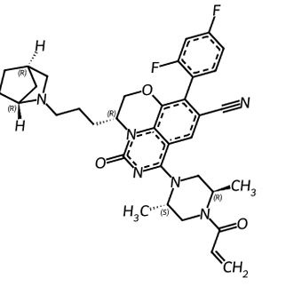 C=CC(=O)N1C[C@H](C)N(c2nc(=O)n3c4c(c(-c5ccc(F)cc5F)c(C#N)cc24)OC[C@H]3CCCN2C[C@@H]3CC[C@@H]2C3)C[C@H]1C